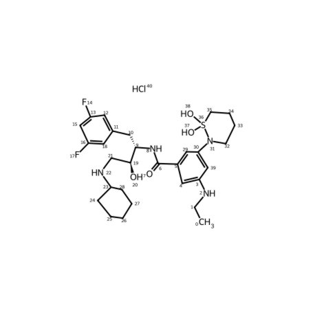 CCNc1cc(C(=O)N[C@@H](Cc2cc(F)cc(F)c2)[C@@H](O)CNC2CCCCC2)cc(N2CCCCS2(O)O)c1.Cl